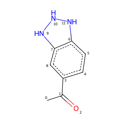 CC(=O)c1ccc2c(c1)NNN2